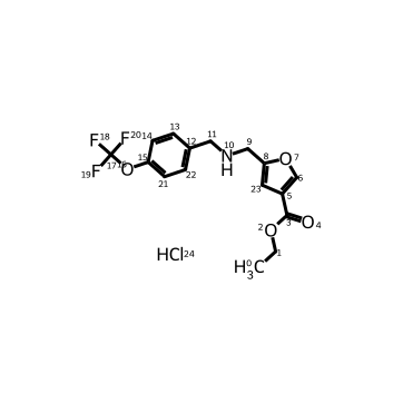 CCOC(=O)c1coc(CNCc2ccc(OC(F)(F)F)cc2)c1.Cl